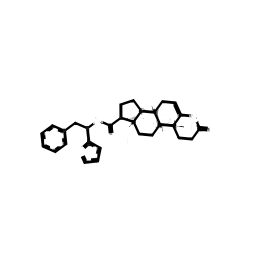 C[C@]12CCC(=O)NC1=CC[C@@H]1[C@H]2CC[C@]2(C)C(C(=O)NC(Cc3ccccc3)c3cccs3)CC[C@@H]12